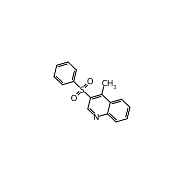 Cc1c(S(=O)(=O)c2ccccc2)cnc2ccccc12